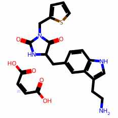 NCCc1c[nH]c2ccc(CC3NC(=O)N(Cc4cccs4)C3=O)cc12.O=C(O)/C=C\C(=O)O